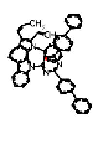 C=Cc1c(/C=C\C)c2ccc3c4ccccc4n(-c4nc(-c5ccc(-c6ccccc6)cc5)nc(-c5ccc(-c6ccccc6)cc5)n4)c3c2n1-c1ccccc1